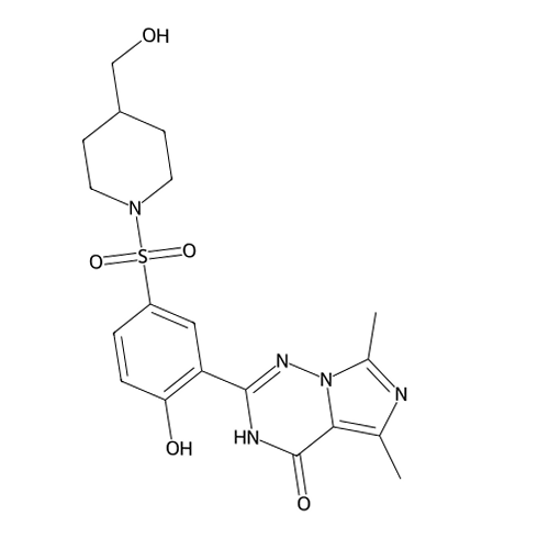 Cc1nc(C)n2nc(-c3cc(S(=O)(=O)N4CCC(CO)CC4)ccc3O)[nH]c(=O)c12